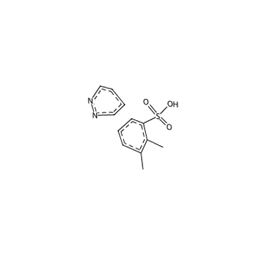 Cc1cccc(S(=O)(=O)O)c1C.c1ccnnc1